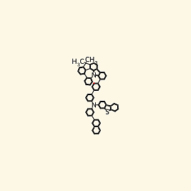 CC1(C)c2cccc3c2-c2c1ccc1c4cccc(-c5ccc(-c6cccc(N(c7cccc(-c8ccc9ccccc9c8)c7)c7ccc8c(c7)sc7ccccc78)c6)cc5)c4n(c21)-c1ccccc1-3